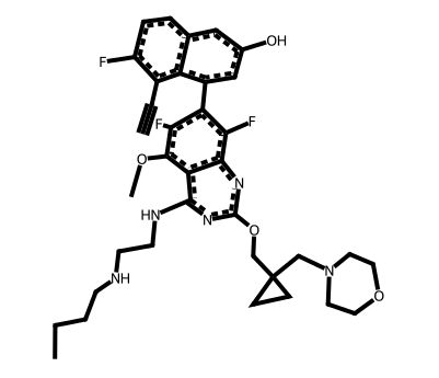 C#Cc1c(F)ccc2cc(O)cc(-c3c(F)c(OC)c4c(NCCNCCCC)nc(OCC5(CN6CCOCC6)CC5)nc4c3F)c12